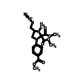 COC(=O)c1ccc(N2CC(CN=[N+]=[N-])N(C)C2(C(=O)OC)C(=O)OC)cc1